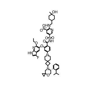 CCOc1nc2[nH]cc(F)c2cc1Oc1cc(N2CCC3(CC2)CC(N2CC4(CC4)OC[C@H]2c2ccccc2C(C)C)C3)ccc1C(=O)NS(=O)(=O)c1cnc(NCC2CCC(C)(O)CC2)c([N+](=O)[O-])c1